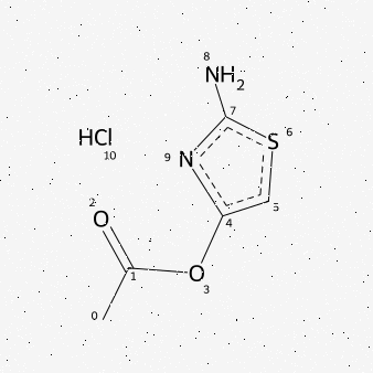 CC(=O)Oc1csc(N)n1.Cl